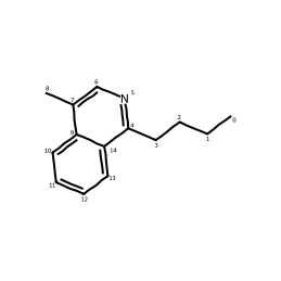 CCCCc1ncc(C)c2ccccc12